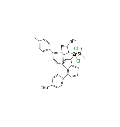 CCCC1=Cc2c(-c3ccc(C)cc3)cccc2[CH]1[Zr]([Cl])([Cl])([CH]1C=Cc2c(-c3ccc(C(C)(C)C)cc3)cccc21)[SiH](C)C